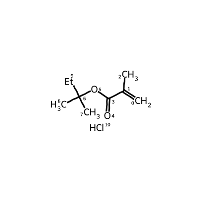 C=C(C)C(=O)OC(C)(C)CC.Cl